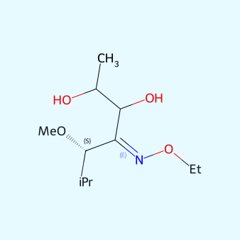 CCO/N=C(\C(O)C(C)O)[C@@H](OC)C(C)C